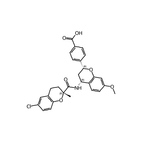 COc1ccc2c(c1)O[C@@H](c1ccc(C(=O)O)cc1)C[C@H]2NC(=O)[C@@]1(C)CCc2cc(Cl)ccc2O1